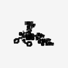 CC[C@H](C)[C@@H]([C@@H](CC(=O)N1CCC[C@H]1[C@H](OC)[C@@H](C)C(=O)N[C@H](CSCc1ccccc1)Cc1ccccc1)OC)N(C)[C@H](C(=O)NC(=O)[C@@H](NC)C(C)C)C(C)C.O=C(O)C(F)(F)F